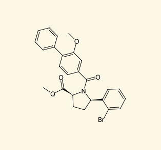 COC(=O)[C@@H]1CC[C@H](c2ccccc2Br)N1C(=O)c1ccc(-c2ccccc2)c(OC)c1